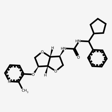 Cc1ncccc1O[C@H]1CO[C@H]2[C@@H]1OC[C@@H]2NC(=O)NC(c1ccccc1)C1CCCC1